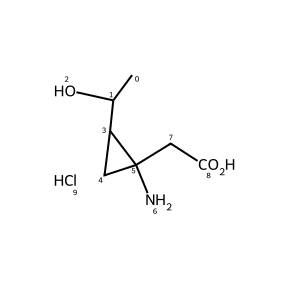 CC(O)C1CC1(N)CC(=O)O.Cl